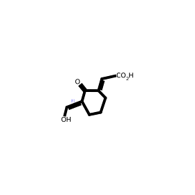 O=C(O)C=C1CCC/C(=C\O)C1=O